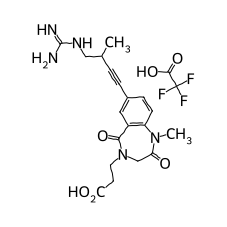 CC(C#Cc1ccc2c(c1)C(=O)N(CCC(=O)O)CC(=O)N2C)CNC(=N)N.O=C(O)C(F)(F)F